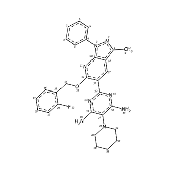 Cc1nn(-c2ccccc2)c2nc(OCc3ccccc3F)c(-c3nc(N)c(N4CCCCC4)c(N)n3)cc12